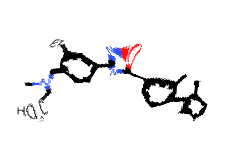 CCc1cc(-c2noc(-c3ccc(-c4ccccc4C)c(C)c3)n2)ccc1CN(C)CC(=O)O